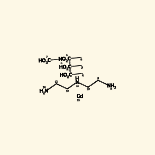 CC(=O)O.CC(=O)O.CC(=O)O.CC(=O)O.NCCNCCN.[Gd]